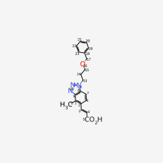 Cc1c(C=CC(=O)O)ccc2c1nnn2CCCOCc1ccccc1